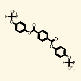 O=C(Oc1ccc(OC(F)(F)C(F)(F)F)cc1)c1ccc(C(=O)Oc2ccc(OC(F)(F)C(F)(F)F)cc2)cc1